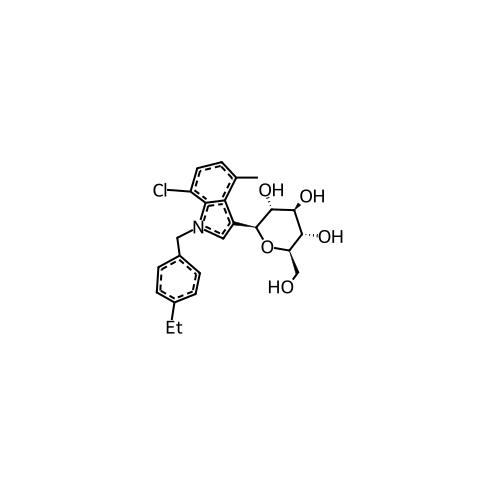 CCc1ccc(Cn2cc([C@@H]3O[C@H](CO)[C@@H](O)[C@H](O)[C@H]3O)c3c(C)ccc(Cl)c32)cc1